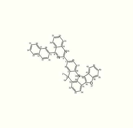 CC1(C)c2cc(-c3nc(-c4ccc5ccccc5c4)c4ccccc4n3)ccc2-n2c3c1cccc3c1oc3ccccc3c12